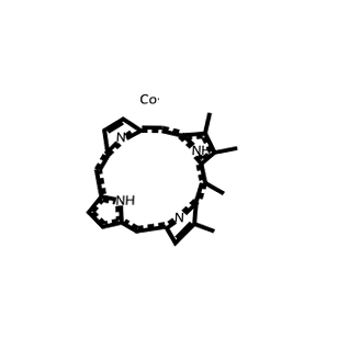 CC1=Cc2cc3ccc(cc4nc(cc5[nH]c(c(C)c1n2)c(C)c5C)C=C4)[nH]3.[Co]